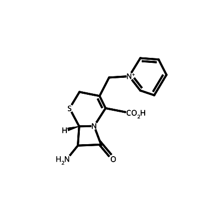 NC1C(=O)N2C(C(=O)O)=C(C[n+]3ccccc3)CS[C@@H]12